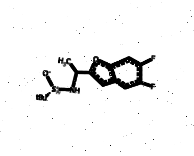 CC(N[S@@+]([O-])C(C)(C)C)c1cc2cc(F)c(F)cc2o1